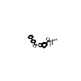 O=C(NO)c1ccc2c(c1)CN(C(=O)c1ccc(-c3ccccc3)cc1)C2